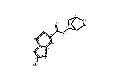 O=C(NC1CC2CC1CN2)c1ccn2cc(Br)nc2c1